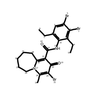 CCc1cc(Br)c(Br)c(CC)c1NC(=O)c1c2n(c(C)c(Br)c1=O)CCCCC2